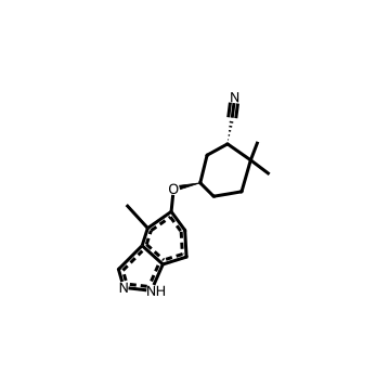 Cc1c(O[C@@H]2CCC(C)(C)[C@@H](C#N)C2)ccc2[nH]ncc12